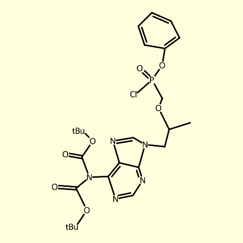 CC(Cn1cnc2c(N(C(=O)OC(C)(C)C)C(=O)OC(C)(C)C)ncnc21)OCP(=O)(Cl)Oc1ccccc1